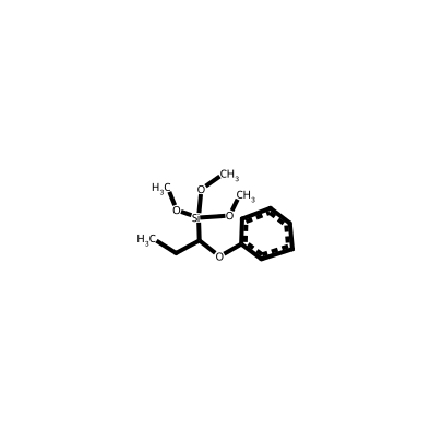 CCC(Oc1ccccc1)[Si](OC)(OC)OC